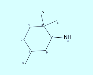 CC1CCC(C)(C)C([NH])C1